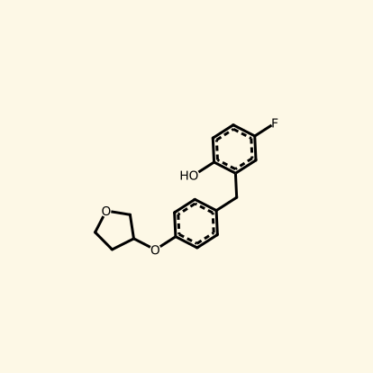 Oc1ccc(F)cc1Cc1ccc(OC2CCOC2)cc1